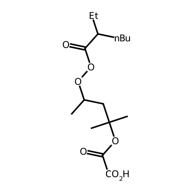 CCCCC(CC)C(=O)OOC(C)CC(C)(C)OC(=O)C(=O)O